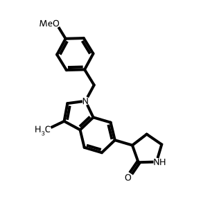 COc1ccc(Cn2cc(C)c3ccc(C4CCNC4=O)cc32)cc1